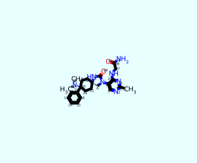 Cc1ncc(N2C[C@]3(CC[C@@](c4ccccc4)(N(C)C)CC3)NC2=O)c(NCC(N)=O)n1